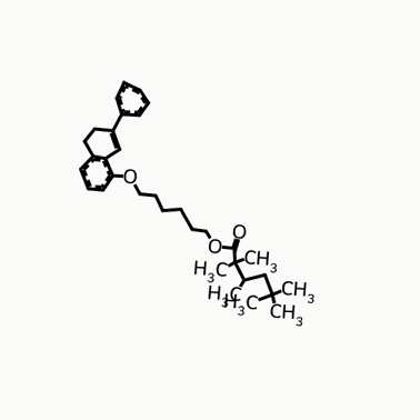 CC(CC(C)(C)C)C(C)(C)C(=O)OCCCCCCOc1cccc2c1C=C(c1ccccc1)CC2